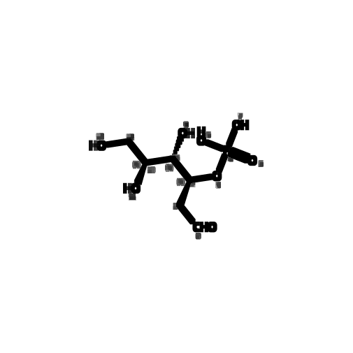 O=CC[C@H](OP(=O)(O)O)[C@@H](O)[C@@H](O)CO